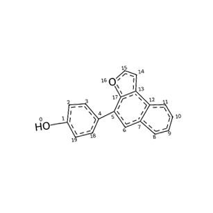 Oc1ccc(-c2cc3ccccc3c3ccoc23)cc1